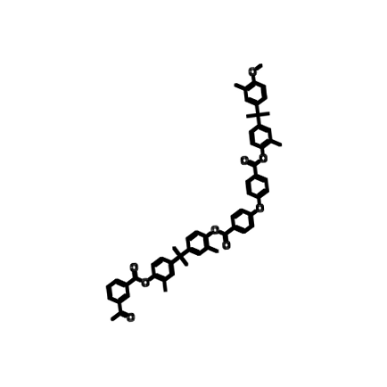 COc1ccc(C(C)(C)c2ccc(OC(=O)c3ccc(Oc4ccc(C(=O)Oc5ccc(C(C)(C)c6ccc(OC(=O)c7cccc(C(C)=O)c7)c(C)c6)cc5C)cc4)cc3)c(C)c2)cc1C